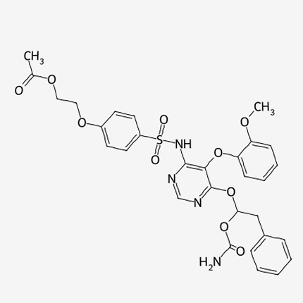 COc1ccccc1Oc1c(NS(=O)(=O)c2ccc(OCCOC(C)=O)cc2)ncnc1OC(Cc1ccccc1)OC(N)=O